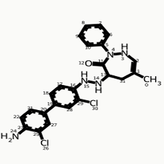 CC1=CNN(c2ccccc2)C(=O)C(NNc2ccc(-c3ccc(N)c(Cl)c3)cc2Cl)C1